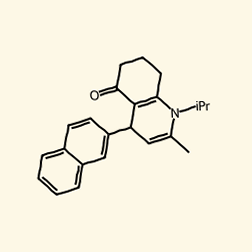 CC1=CC(c2ccc3ccccc3c2)C2=C(CCCC2=O)N1C(C)C